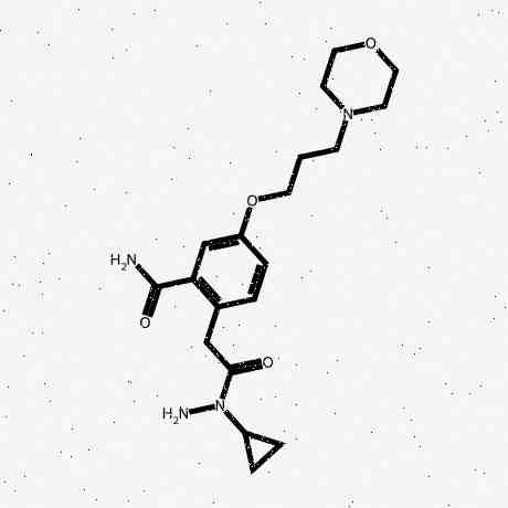 NC(=O)c1cc(OCCCN2CCOCC2)ccc1CC(=O)N(N)C1CC1